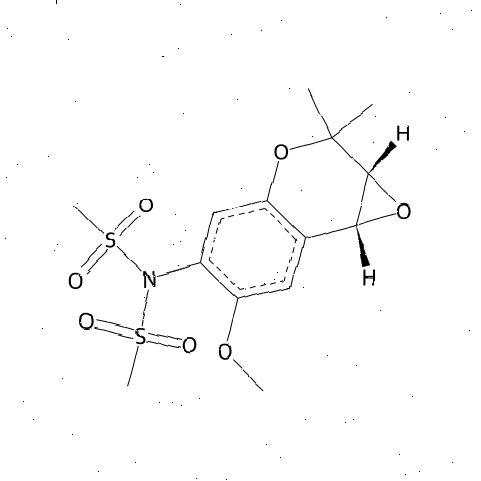 COc1cc2c(cc1N(S(C)(=O)=O)S(C)(=O)=O)OC(C)(C)[C@@H]1O[C@H]21